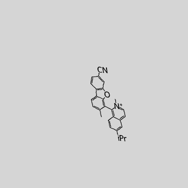 Cc1ccc2c(oc3cc(C#N)ccc32)c1-c1c2ccc(C(C)C)cc2cc[n+]1C